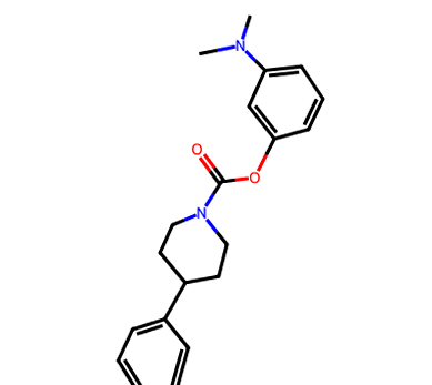 CN(C)c1cccc(OC(=O)N2CCC(c3ccccc3)CC2)c1